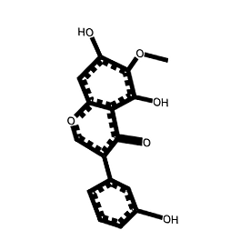 COc1c(O)cc2occ(-c3cccc(O)c3)c(=O)c2c1O